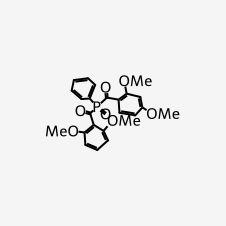 COc1ccc(C(=O)P(=O)(C(=O)c2c(OC)cccc2OC)c2ccccc2)c(OC)c1